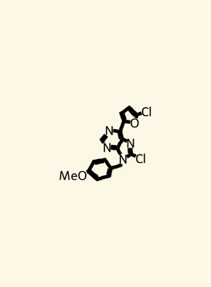 COc1ccc(Cn2c(Cl)nc3c(-c4ccc(Cl)o4)ncnc32)cc1